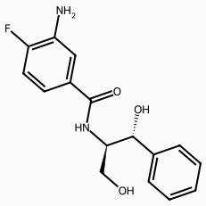 Nc1cc(C(=O)N[C@H](CO)[C@H](O)c2ccccc2)ccc1F